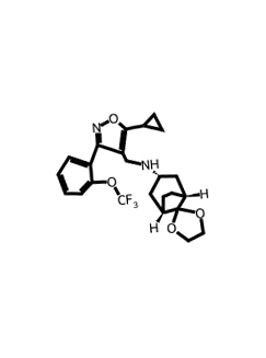 FC(F)(F)Oc1ccccc1-c1noc(C2CC2)c1CN[C@@H]1C[C@H]2CC[C@@H](C1)C21OCCO1